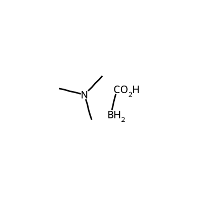 BC(=O)O.CN(C)C